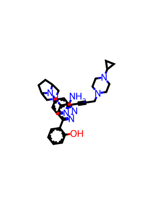 Nc1nnc(-c2ccccc2O)cc1N1CC2CCC(C1)N2c1ccnc(C#CCN2CCN(C3CC3)CC2)c1